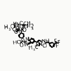 Cn1nc(NC(=O)Cc2cccc(C(F)(F)F)c2)cc1-c1ccc2nc(N(C(=O)O)C3CCC(N(C(=O)OC(C)(C)C)C(=O)OC(C)(C)C)CC3)ncc2c1